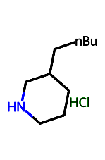 CCCCCC1CCCNC1.Cl